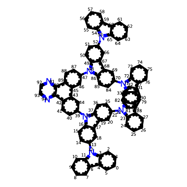 c1ccc2c(c1)c1ccccc1n2-c1ccc2c(c1)c1cc(-n3c4ccccc4c4ccccc43)ccc1n2-c1ccc2c(c1)c1cc(-n3c4ccc(-n5c6ccccc6c6ccccc65)cc4c4cc(-n5c6ccccc6c6ccccc65)ccc43)ccc1c1nccnc21